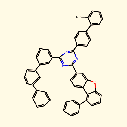 N#Cc1ccccc1-c1ccc(-c2nc(-c3cccc(-c4cccc(-c5ccccc5)c4)c3)nc(-c3ccc4c(c3)oc3cccc(-c5ccccc5)c34)n2)cc1